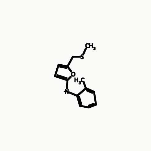 CSCc1ccc([N]c2ccccc2C)o1